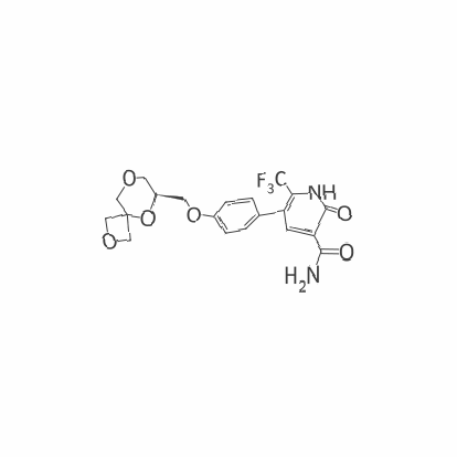 NC(=O)c1cc(-c2ccc(OC[C@@H]3COCC4(COC4)O3)cc2)c(C(F)(F)F)[nH]c1=O